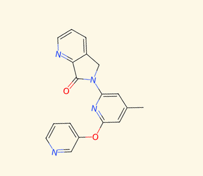 Cc1cc(Oc2cccnc2)nc(N2Cc3cccnc3C2=O)c1